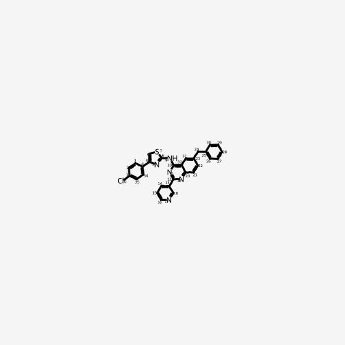 Clc1ccc(-c2csc(Nc3nc(-c4cccnc4)nc4ccc(Cc5ccccc5)cc34)n2)cc1